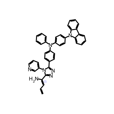 C=C/C=C(\N)c1nnc(-c2ccc(N(c3ccccc3)c3ccc(-n4c5ccccc5c5ccccc54)cc3)cc2)n1-c1cccnc1